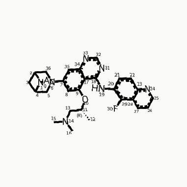 CC(=O)N1C2CC1CN(c1cc(O[C@H](C)CN(C)C)c3c(Nc4ccc5ncccc5c4F)ncnc3c1)C2